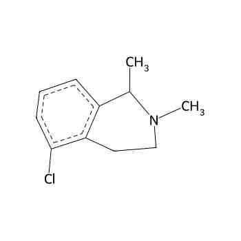 CC1c2cccc(Cl)c2CCN1C